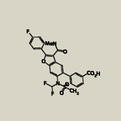 CNC(=O)c1c(-c2ccc(F)cc2)oc2cc(N(C(F)F)S(C)(=O)=O)c(-c3cccc(C(=O)O)c3)cc12